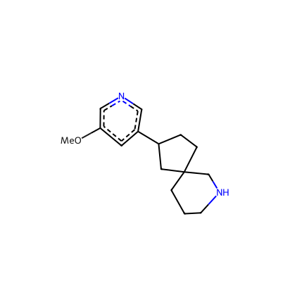 COc1cncc(C2CCC3(CCCNC3)C2)c1